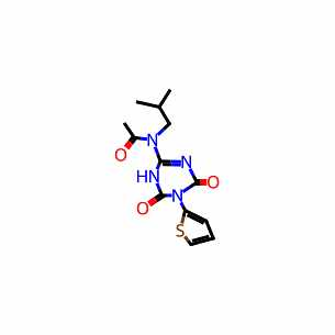 CC(=O)N(CC(C)C)c1nc(=O)n(-c2cccs2)c(=O)[nH]1